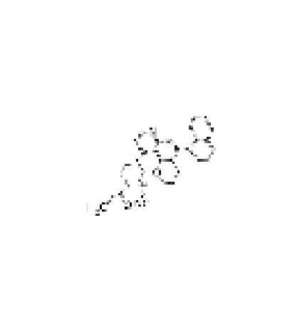 C=CC(=O)N1CCN(c2ncnc3cc(-c4cccc5ccccc45)c4c(c23)OCCC4)C[C@@H]1CC#N